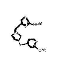 COc1cc(C[C@H]2CCN(Cc3cnc(NC(C)=O)s3)C2)ccn1